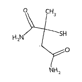 CC(S)([CH]C(N)=O)C(N)=O